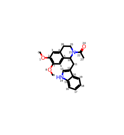 COc1cc2c(cc1OC)C(Cc1c[nH]c3ccccc13)N(C(C)=O)CC2